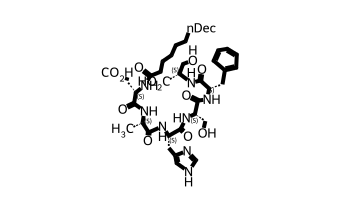 CCCCCCCCCCCCCCCC(=O)N[C@@H](CC(=O)O)C(=O)N[C@@H](C)C(=O)N[C@@H](Cc1c[nH]cn1)C(=O)N[C@@H](CO)C(=O)N[C@@H](Cc1ccccc1)C(=O)N[C@@H](CO)C(=O)O